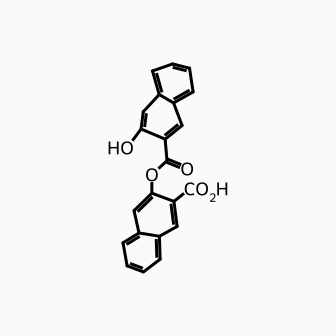 O=C(Oc1cc2ccccc2cc1C(=O)O)c1cc2ccccc2cc1O